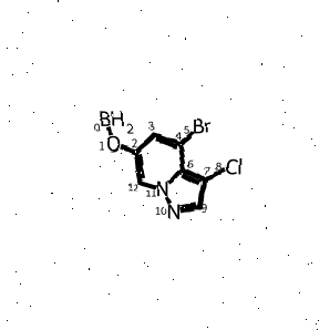 BOc1cc(Br)c2c(Cl)cnn2c1